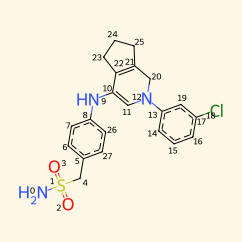 NS(=O)(=O)Cc1ccc(NC2=CN(c3cccc(Cl)c3)CC3=C2CCC3)cc1